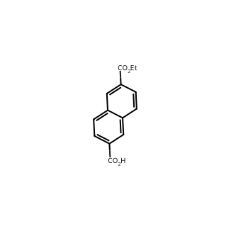 CCOC(=O)c1ccc2cc(C(=O)O)ccc2c1